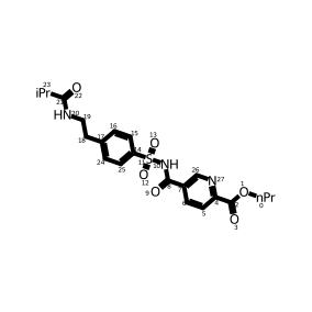 CCCOC(=O)c1ccc(C(=O)NS(=O)(=O)c2ccc(CCNC(=O)C(C)C)cc2)cn1